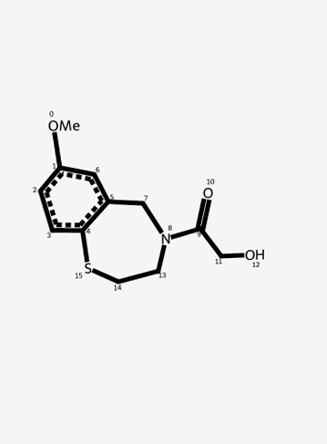 COc1ccc2c(c1)CN(C(=O)CO)CCS2